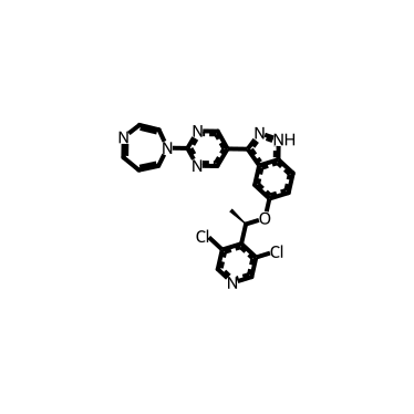 C[C@@H](Oc1ccc2[nH]nc(-c3cnc(N4C=CC=NC=C4)nc3)c2c1)c1c(Cl)cncc1Cl